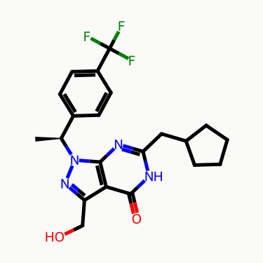 C[C@@H](c1ccc(C(F)(F)F)cc1)n1nc(CO)c2c(=O)[nH]c(CC3CCCC3)nc21